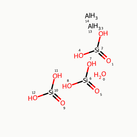 O.O=[Si](O)O.O=[Si](O)O.O=[Si](O)O.[AlH3].[AlH3]